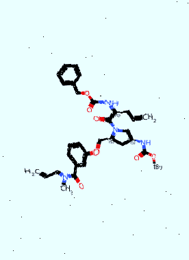 C=CC[C@H](NC(=O)OCc1ccccc1)C(=O)N1C[C@@H](NC(=O)OC(C)(C)C)C[C@H]1COc1cccc(C(=O)N(C)CC=C)c1